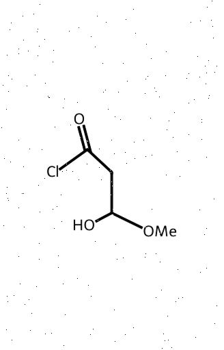 COC(O)CC(=O)Cl